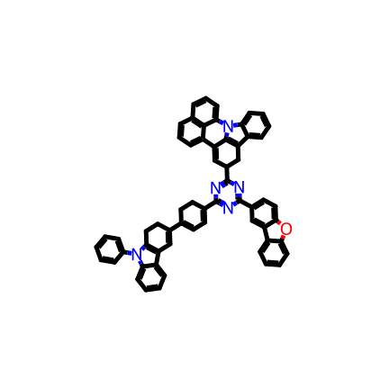 C1=C(C2=Cc3c(n(-c4ccccc4)c4ccccc34)CC2)CCC(c2nc(-c3ccc4oc5ccccc5c4c3)nc(C3C=c4c5cccc6cccc(c65)n5c4c(c4ccccc45)C3)n2)=C1